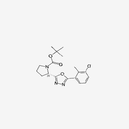 Cc1c(Cl)cccc1-c1nnc([C@@H]2CCCN2C(=O)OC(C)(C)C)o1